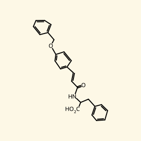 O=C(/C=C/c1ccc(OCc2ccccc2)cc1)NC(Cc1ccccc1)C(=O)O